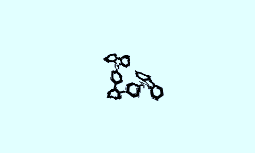 c1ccc2c(c#1)c1ccccc1n2-c1ccc(-c2ccccc2-c2ccc(-n3c4ccccc4c4ccccc43)cc2)cc1